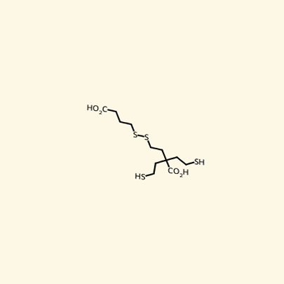 O=C(O)CCCSSCCC(CCS)(CCS)C(=O)O